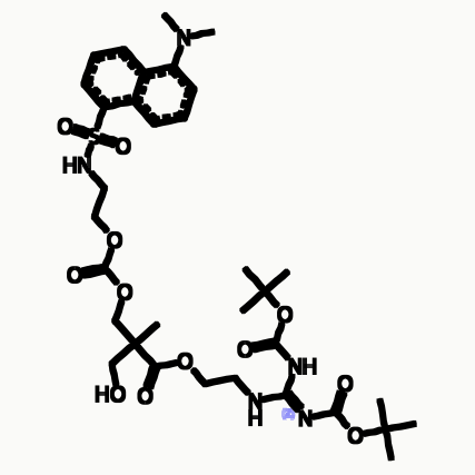 CN(C)c1cccc2c(S(=O)(=O)NCCOC(=O)OCC(C)(CO)C(=O)OCCN/C(=N/C(=O)OC(C)(C)C)NC(=O)OC(C)(C)C)cccc12